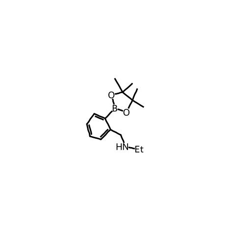 CCNCc1ccccc1B1OC(C)(C)C(C)(C)O1